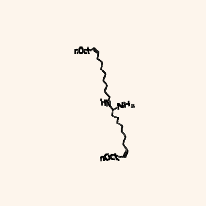 CCCCCCCC/C=C\CCCCCCCCNC(N)CCCCCCC/C=C\CCCCCCCC